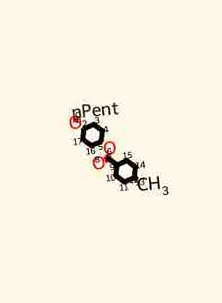 CCCCCOC1CCC(OC(=O)C2CCC(C)CC2)CC1